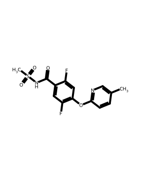 Cc1ccc(Oc2cc(F)c(C(=O)NS(C)(=O)=O)cc2F)nc1